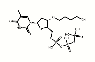 Cc1cn([C@H]2C[C@H](OCOCCC#N)[C@@H](COP(=O)(O)OP(=O)(O)OP(=O)(O)O)O2)c(=O)[nH]c1=O